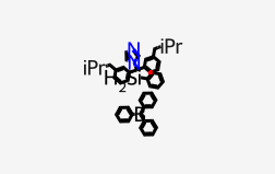 CC(C)Cc1cccc(C([SiH2]c2ccccc2)(c2cccc(CC(C)C)c2)n2ccnc2)c1.c1ccc(B(c2ccccc2)c2ccccc2)cc1